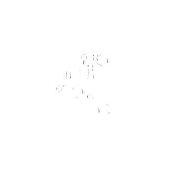 CC(C(=O)c1ccc(OCc2ccccc2)cc1)N1CCC(C(=O)Nc2ccccn2)CC1